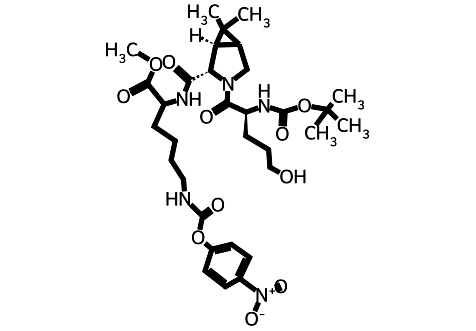 COC(=O)C(CCCCNC(=O)Oc1ccc([N+](=O)[O-])cc1)NC(=O)[C@@H]1[C@@H]2C(CN1C(=O)[C@H](CCCO)NC(=O)OC(C)(C)C)C2(C)C